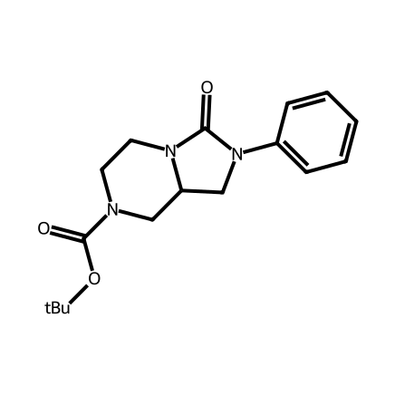 CC(C)(C)OC(=O)N1CCN2C(=O)N(c3ccccc3)CC2C1